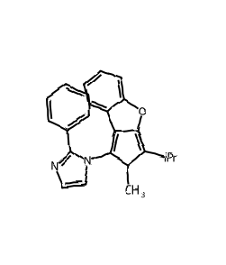 CC(C)C1=c2oc3ccccc3c2=C(n2ccnc2-c2ccccc2)C1C